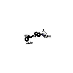 COc1ccc2[nH]cc(CCNC3CCc4cc(/C(C)=C/C(=O)NO)ccc43)c2c1